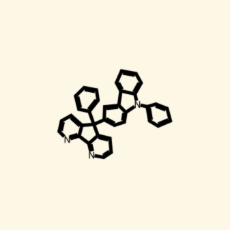 c1ccc(-n2c3ccccc3c3cc(C4(c5ccccc5)c5cccnc5-c5ncccc54)ccc32)cc1